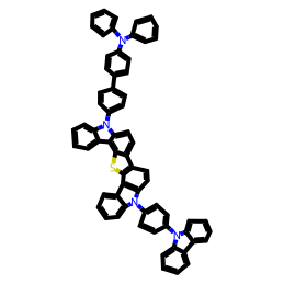 c1ccc(N(c2ccccc2)c2ccc(-c3ccc(-n4c5ccccc5c5c6sc7c(ccc8c7c7ccccc7n8-c7ccc(-n8c9ccccc9c9ccccc98)cc7)c6ccc54)cc3)cc2)cc1